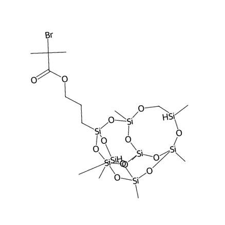 C[SiH]1CO[Si]2(C)O[Si]3(C)O[Si](C)(O1)O[Si]1(C)O[SiH](C)O[Si](CCCOC(=O)C(C)(C)Br)(O2)O[Si](C)(O1)O3